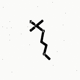 COCCO[Si](C)(C)F